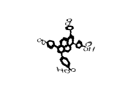 O=COc1ccc(-c2cc(-c3ccc(C(=O)O)cc3)c3ccc4c(-c5ccc(C(=O)O)cc5)cc(-c5ccc(OC=O)cc5)c5ccc2c3c54)cc1